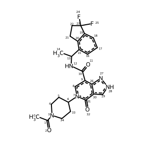 CC(=O)N1CCC(n2cc(C(=O)NC(C)c3cccc4c3CCC4(F)F)c3n[nH]cc3c2=O)CC1